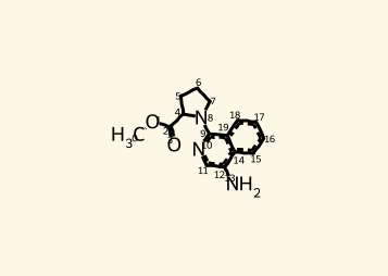 COC(=O)C1CCCN1c1ncc(N)c2ccccc12